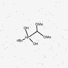 CCCC[PH](O)(O)C(OC)OC